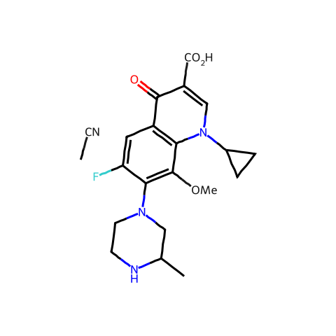 CC#N.COc1c(N2CCNC(C)C2)c(F)cc2c(=O)c(C(=O)O)cn(C3CC3)c12